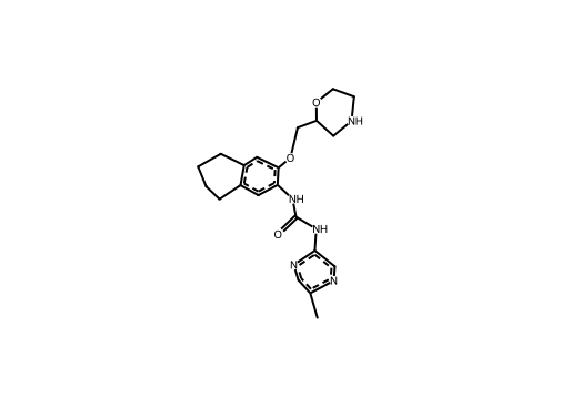 Cc1cnc(NC(=O)Nc2cc3c(cc2OCC2CNCCO2)CCCC3)cn1